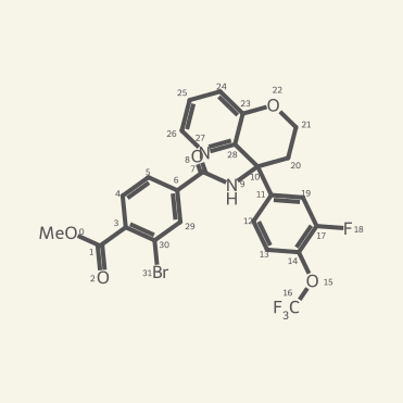 COC(=O)c1ccc(C(=O)NC2(c3ccc(OC(F)(F)F)c(F)c3)CCOc3cccnc32)cc1Br